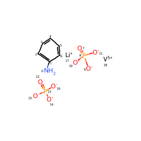 Nc1ccccc1.O=P([O-])([O-])[O-].O=P([O-])([O-])[O-].[Li+].[V+5]